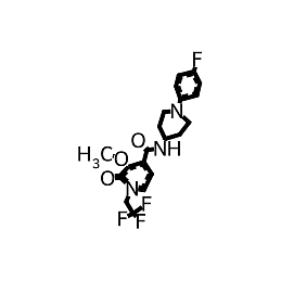 COc1c(C(=O)NC2CCN(c3ccc(F)cc3)CC2)ccn(CC(F)(F)F)c1=O